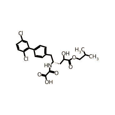 CC(C)COC(=O)C(O)C[C@@H](Cc1ccc(-c2cc(Cl)ccc2Cl)cc1)NC(=O)C(=O)O